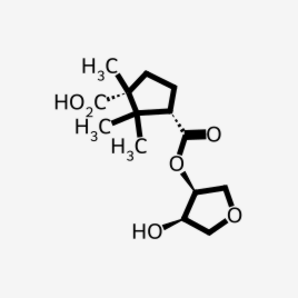 CC1(C)[C@@H](C(=O)O[C@H]2COC[C@H]2O)CC[C@@]1(C)C(=O)O